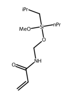 C=CC(=O)NCO[Si](CCC)(CC(C)C)OC